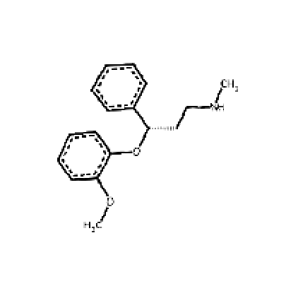 CNCC[C@H](Oc1ccccc1OC)c1ccccc1